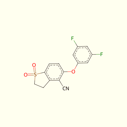 N#Cc1c(Oc2cc(F)cc(F)c2)ccc2c1CCS2(=O)=O